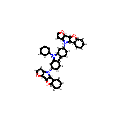 c1ccc(-n2c3cc(-n4c5ccoc5c5oc6ccccc6c54)ccc3c3ccc(-n4c5ccoc5c5oc6ccccc6c54)cc32)cc1